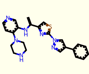 C=C(Nc1cnccc1N1CCNCC1)c1csc(-n2cc(-c3ccccc3)cn2)n1